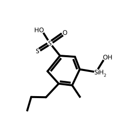 CCCc1cc(S(=O)(O)=S)cc([SiH2]O)c1C